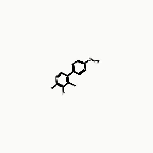 Cc1ccc(-c2ccc(OC(F)(F)F)cc2)c(F)c1F